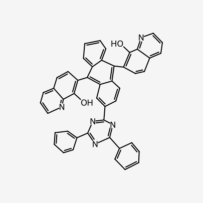 Oc1c(-c2c3ccccc3c(-c3ccc4cccnc4c3O)c3cc(-c4nc(-c5ccccc5)nc(-c5ccccc5)n4)ccc23)ccc2cccnc12